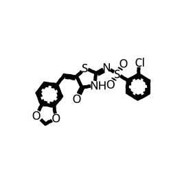 O=C1NC(=NS(=O)(=O)c2ccccc2Cl)SC1=Cc1ccc2c(c1)OCO2